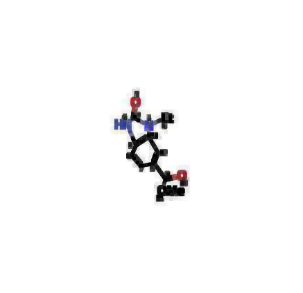 CCn1c(=O)[nH]c2ccc(C(=O)OC)cc21